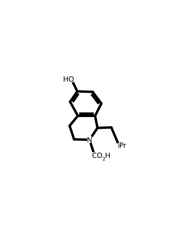 CC(C)CC1c2ccc(O)cc2CCN1C(=O)O